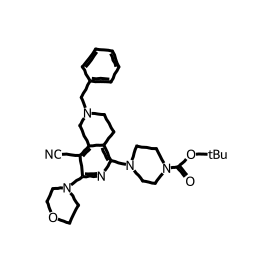 CC(C)(C)OC(=O)N1CCN(c2nc(N3CCOCC3)c(C#N)c3c2CCN(Cc2ccccc2)C3)CC1